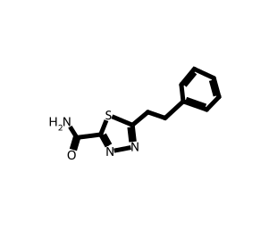 NC(=O)c1nnc(CCc2ccccc2)s1